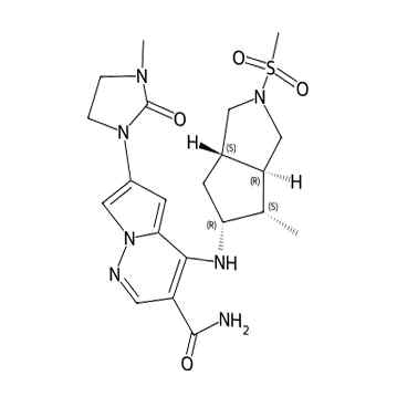 C[C@H]1[C@@H]2CN(S(C)(=O)=O)C[C@H]2C[C@H]1Nc1c(C(N)=O)cnn2cc(N3CCN(C)C3=O)cc12